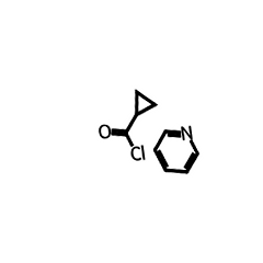 O=C(Cl)C1CC1.c1ccncc1